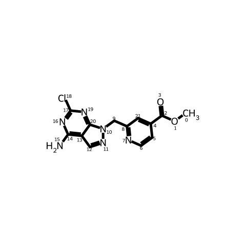 COC(=O)c1ccnc(Cn2ncc3c(N)nc(Cl)nc32)c1